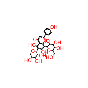 O=c1cc(-c2ccc(O)cc2)oc2c(C3OC(CO)C(O)C(O)C3O)c(O)c(C3OCC(O)C(O)C3O)c(O)c12